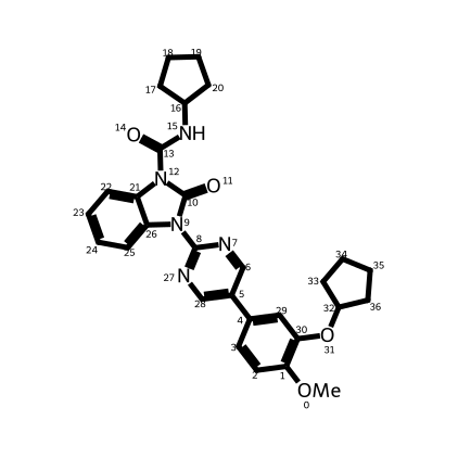 COc1ccc(-c2cnc(-n3c(=O)n(C(=O)NC4CCCC4)c4ccccc43)nc2)cc1OC1CCCC1